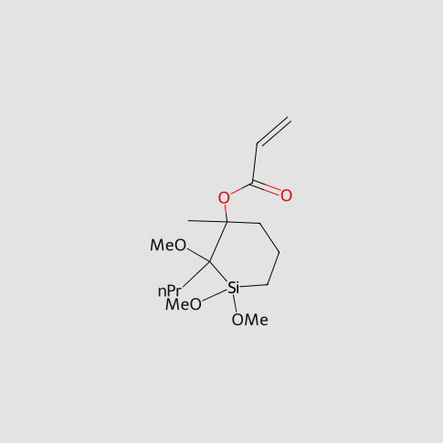 C=CC(=O)OC1(C)CCC[Si](OC)(OC)C1(CCC)OC